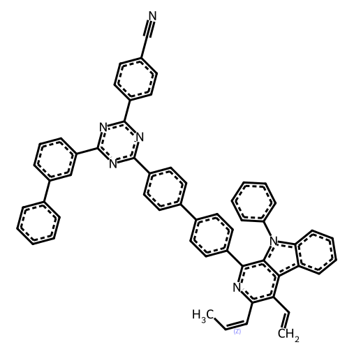 C=Cc1c(/C=C\C)nc(-c2ccc(-c3ccc(-c4nc(-c5ccc(C#N)cc5)nc(-c5cccc(-c6ccccc6)c5)n4)cc3)cc2)c2c1c1ccccc1n2-c1ccccc1